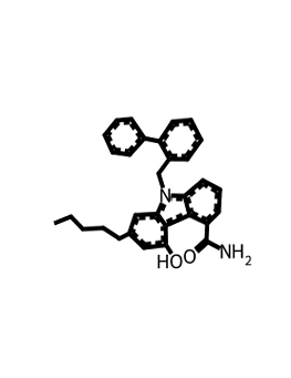 CCCCCc1cc(O)c2c3c(C(N)=O)cccc3n(Cc3ccccc3-c3ccccc3)c2c1